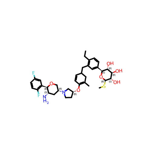 CCc1ccc([C@@H]2O[C@H](SC)[C@@H](O)[C@H](O)[C@H]2O)cc1CC1C=CC(O[C@@H]2CCN([C@H]3CO[C@H](c4cc(F)ccc4F)[C@@H](N)C3)C2)=C(C)C1